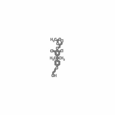 CC(=O)OC(CCl)COc1c(Cl)cc(C(C)(C)c2ccc(OCCCO)cc2)cc1Cl